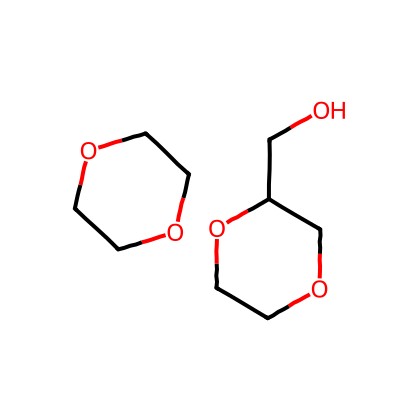 C1COCCO1.OCC1COCCO1